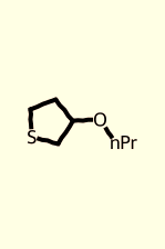 [CH2]CCOC1CCSC1